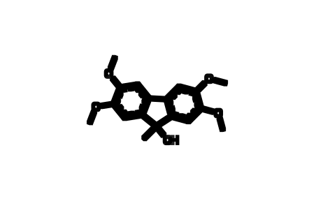 COc1cc2c(cc1OC)C(C)(O)c1cc(OC)c(OC)cc1-2